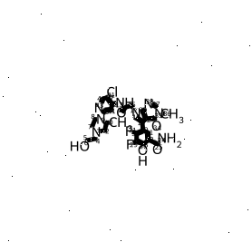 CC1CN(CCO)CCN1c1cc(NC(=O)Cn2cc(-c3cc(C(N)=O)c(O)c(F)c3F)c3c(=O)n(C)cnc32)c(Cl)cn1